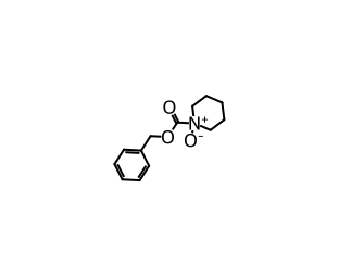 O=C(OCc1ccccc1)[N+]1([O-])CCCCC1